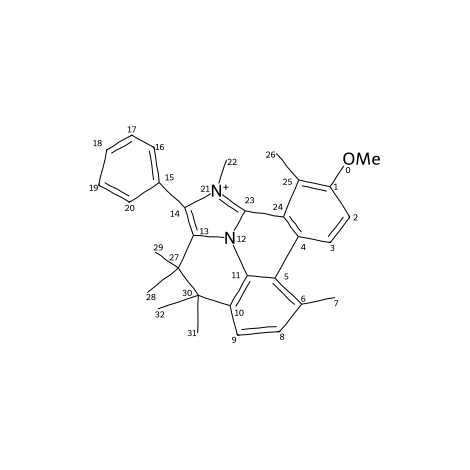 COc1ccc2c3c(C)ccc4c3n3c(c(-c5ccccc5)[n+](C)c3c2c1C)C(C)(C)C4(C)C